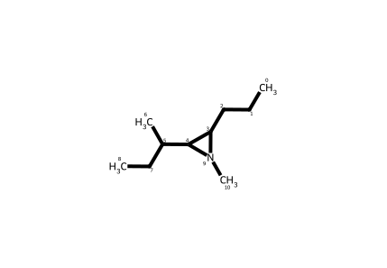 CCCC1C(C(C)CC)N1C